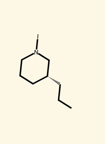 CCC[C@@H]1CCCN(I)C1